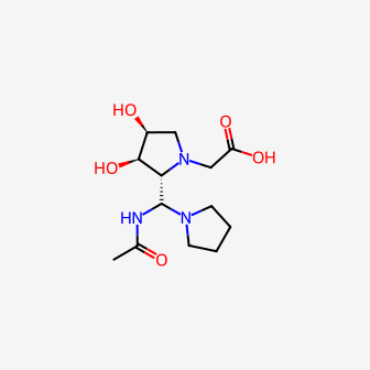 CC(=O)NC([C@@H]1[C@@H](O)[C@@H](O)CN1CC(=O)O)N1CCCC1